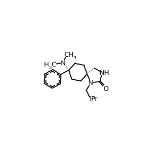 CC(C)CN1C(=O)NC[C@]12CC[C@@](c1ccccc1)(N(C)C)CC2